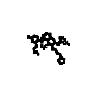 Cc1c(OCCCN2CCCC2)c(N=S(C)C)cc2ncnc(Nc3ccc(F)cc3OCC(F)(F)F)c12